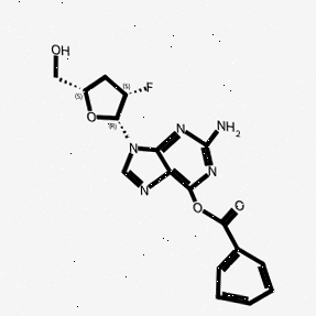 Nc1nc(OC(=O)c2ccccc2)c2ncn([C@@H]3O[C@H](CO)C[C@@H]3F)c2n1